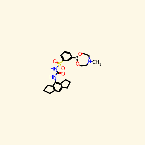 CN1CCOB(c2cccc(S(=O)(=O)NC(=O)Nc3c4c(cc5c3CCC5)CCC4)c2)OCC1